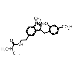 COc1cc(C(=O)O)ccc1Cc1cn(C)c2ccc(CCNC(=O)N(C)C)cc12